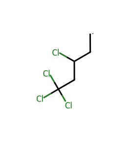 [CH2]CC(Cl)CC(Cl)(Cl)Cl